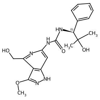 COc1n[nH]c2cc(NC(=O)N[C@@H](c3ccccc3)C(C)(C)O)nc(CO)c12